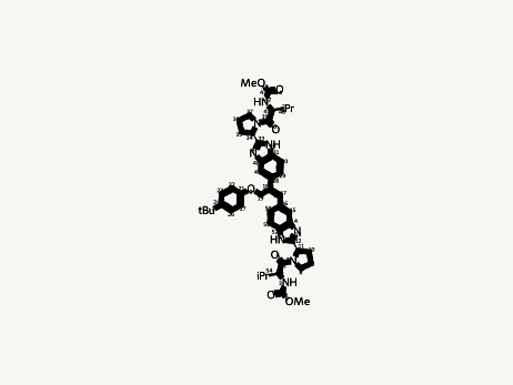 COC(=O)N[C@H](C(=O)N1CCC[C@H]1c1nc2cc(/C=C(\COc3ccc(C(C)(C)C)cc3)c3ccc4[nH]c([C@@H]5CCCN5C(=O)[C@@H](NC(=O)OC)C(C)C)nc4c3)ccc2[nH]1)C(C)C